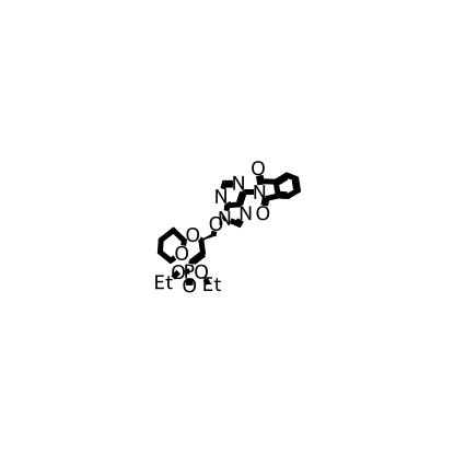 CCOP(=O)(C=C[C@H](COn1cnc2c(N3C(=O)c4ccccc4C3=O)ncnc21)O[C@H]1CCCCO1)OCC